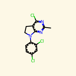 Cc1nc(Cl)c2c(n1)N(c1ccc(Cl)cc1Cl)CC2